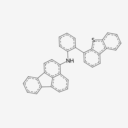 c1ccc(-c2cccc3c2sc2ccccc23)c(Nc2ccc3c4c(cccc24)-c2ccccc2-3)c1